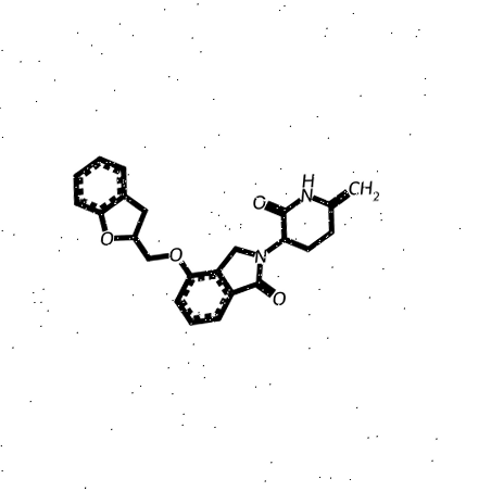 C=C1CCC(N2Cc3c(OCC4Cc5ccccc5O4)cccc3C2=O)C(=O)N1